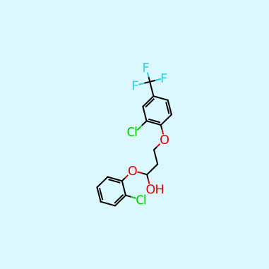 OC(CCOc1ccc(C(F)(F)F)cc1Cl)Oc1ccccc1Cl